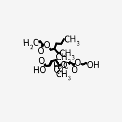 C=C(C=CC(=O)O)C(=O)OC.C=CC(=O)OCC(CC)CCCC.C=CC(=O)OCCO